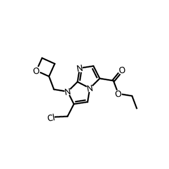 CCOC(=O)c1cnc2n(CC3CCO3)c(CCl)cn12